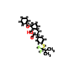 CC(C)C(F)(F)Sc1ccc(C(Cc2cccc(Oc3ccccc3)c2)C(=O)O)cc1